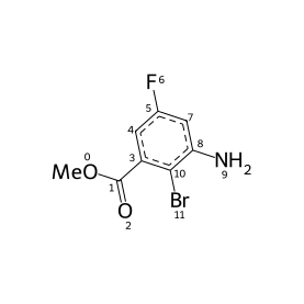 COC(=O)c1cc(F)cc(N)c1Br